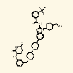 O=C1CCC(Nc2cccc(CN3CCC(N4CCN(c5ccc6c(c5)nc(NC(=O)c5cccc(C(F)(F)F)c5)n6C5CCC(CO)CC5)CC4)CC3)c2)C(=O)N1